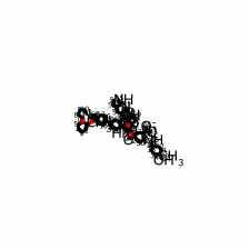 Cc1ccccc1[C@@H]1CCCN1C1CC2(CCN(c3ccc(C(=O)NS(=O)(=O)c4ccc(NC[C@]5(F)CC[C@](C)(O)CC5)c([N+](=O)[O-])c4)c(N4c5cc6cc[nH]c6nc5O[C@@H]5COC[C@H]54)c3)CC2)C1